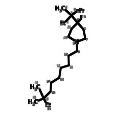 CCCC(C)(CC)C1(F)CCN(CCCCCCCC(C)(C)CC)CC1